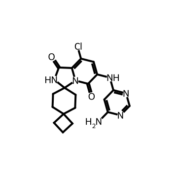 Nc1cc(Nc2cc(Cl)c3n(c2=O)C2(CCC4(CCC4)CC2)NC3=O)ncn1